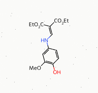 CCOC(=O)C(=CNc1ccc(O)c(OC)c1)C(=O)OCC